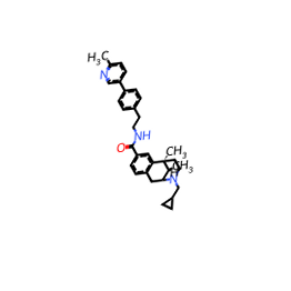 Cc1ccc(-c2ccc(CCNC(=O)c3ccc4c(c3)[C@@]3(C)CCN(CC5CC5)C(C4)[C@@H]3C)cc2)cn1